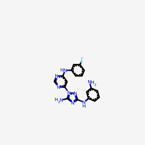 Nc1cccc(Nc2nc(N)n(-c3cc(Nc4cccc(F)c4)ncn3)n2)c1